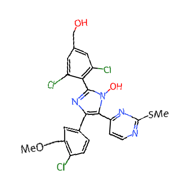 COc1cc(-c2nc(-c3c(Cl)cc(CO)cc3Cl)n(O)c2-c2ccnc(SC)n2)ccc1Cl